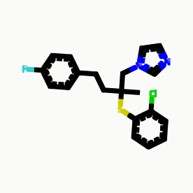 CC(CCc1ccc(F)cc1)(Cn1ccnc1)Sc1ccccc1Cl